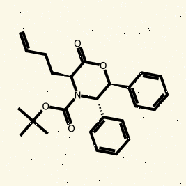 C=CCC[C@H]1C(=O)O[C@@H](c2ccccc2)[C@H](c2ccccc2)N1C(=O)OC(C)(C)C